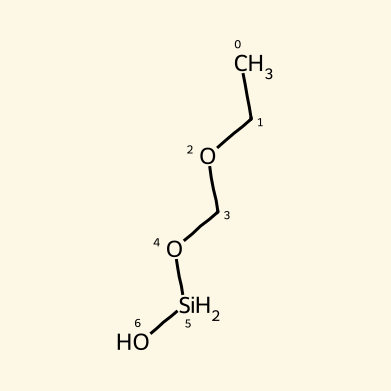 CCOCO[SiH2]O